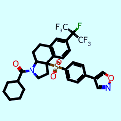 O=C(C1CCCCC1)N1CCC2(S(=O)(=O)c3ccc(-c4cnoc4)cc3)c3ccc(C(F)(C(F)(F)F)C(F)(F)F)cc3CCC12